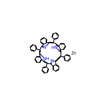 [Zn].c1ccc(-c2c3nc(c(-c4ccccc4)c4[nH]c(c(-c5ccccc5)c5nc(c(-c6ccccc6)c6[nH]c2c2ccccc62)-c2ccccc2-5)c2ccccc42)-c2ccccc2-3)cc1